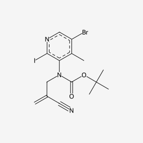 C=C(C#N)CN(C(=O)OC(C)(C)C)c1c(I)ncc(Br)c1C